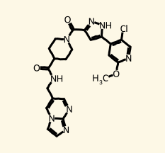 COc1cc(-c2cc(C(=O)N3CCC(C(=O)NCc4cnc5nccn5c4)CC3)n[nH]2)c(Cl)cn1